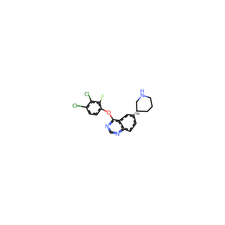 Fc1c(Oc2ncnc3ccc([C@H]4CCCNC4)cc23)ccc(Cl)c1Cl